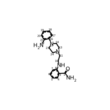 NC(=O)c1ccccc1NCCN1CCN(c2ccccc2N)CC1